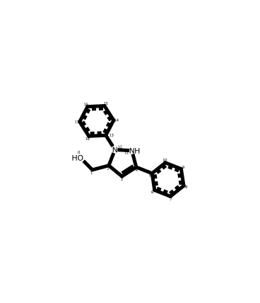 OCC1C=C(c2ccccc2)NN1c1ccccc1